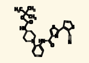 CC(C)(C)OC(=O)NC1CCN(c2ccccc2NC(=O)c2csc(-c3ccsc3C#N)n2)CC1